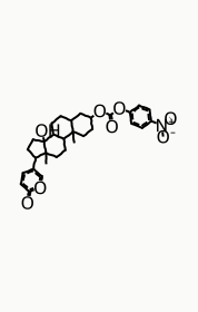 CC12CCC(OC(=O)Oc3ccc([N+](=O)[O-])cc3)CC1CCC1C2CCC2(C)C(c3ccc(=O)oc3)CCC12O